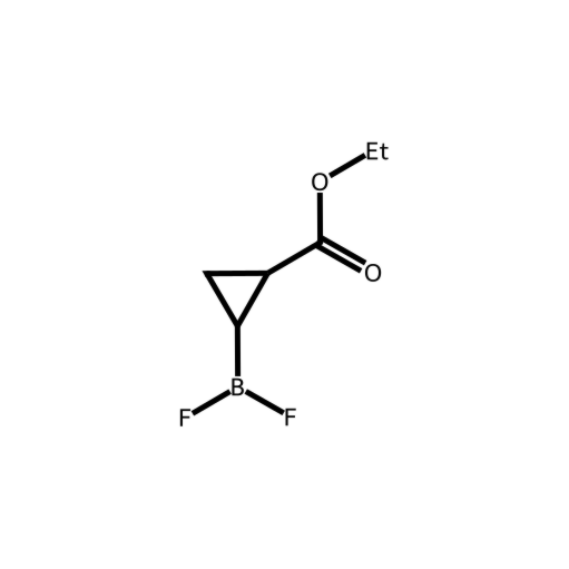 CCOC(=O)C1CC1B(F)F